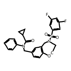 O=C(C1CC1)N(Cc1ccc2c(c1)CN(S(=O)(=O)c1cc(F)cc(F)c1)CCO2)c1ccccc1